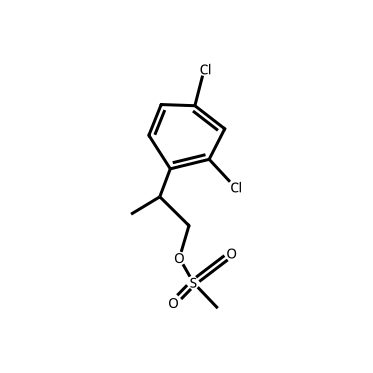 CC(COS(C)(=O)=O)c1ccc(Cl)cc1Cl